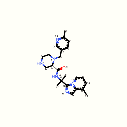 Cc1ccc(CN2CCNC[C@H]2C(=O)NC(C)(C)c2ncc3c(C)cccn23)cn1